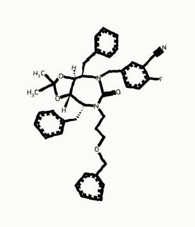 CC1(C)O[C@@H]2[C@@H](O1)[C@@H](Cc1ccccc1)N(Cc1ccc(F)c(C#N)c1)C(=O)N(CCCOCc1ccccc1)[C@@H]2Cc1ccccc1